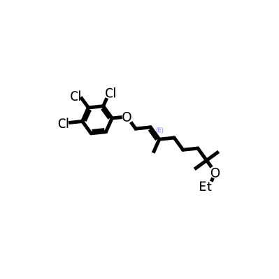 CCOC(C)(C)CCC/C(C)=C/COc1ccc(Cl)c(Cl)c1Cl